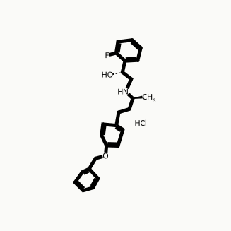 C[C@@H](CCc1ccc(OCc2ccccc2)cc1)NC[C@H](O)c1ccccc1F.Cl